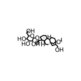 C[C@@]12CCC[C@@](C)(C(=O)OC3OC(CO)C(O)C(O)C3O)[C@H]1CC[C@]13CC(CO)[C@](OI)(CC[C@H]12)C3